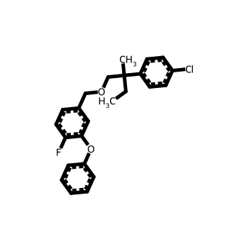 CCC(C)(COCc1ccc(F)c(Oc2ccccc2)c1)c1ccc(Cl)cc1